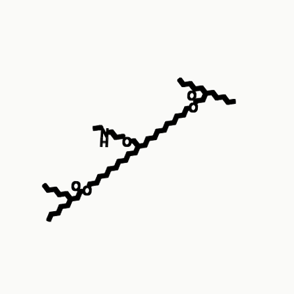 CCCCCC(CCCCC)CC(=O)OCCCCCCCCCCC(CCCCCCCCCCOC(=O)CC(CCCCC)CCCCC)COCCCNCC